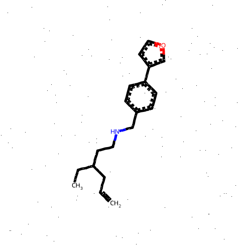 C=CCC(CC)CCNCc1ccc(-c2ccoc2)cc1